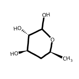 C[C@H]1C[C@@H](O)[C@H](O)C(O)O1